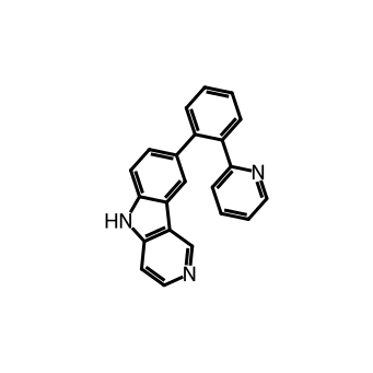 c1ccc(-c2ccccc2-c2ccc3[nH]c4ccncc4c3c2)nc1